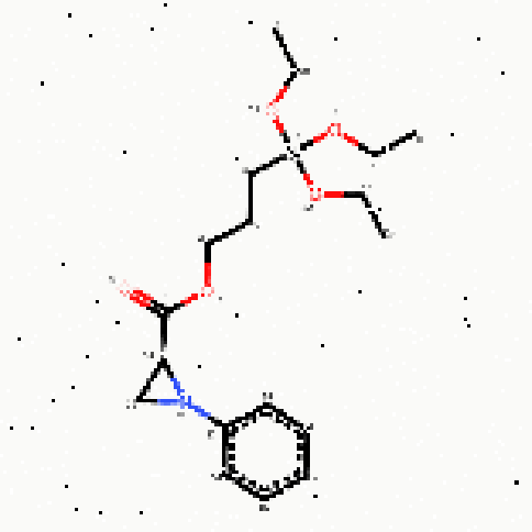 CCO[Si](CCCOC(=O)[C@@H]1CN1c1ccccc1)(OCC)OCC